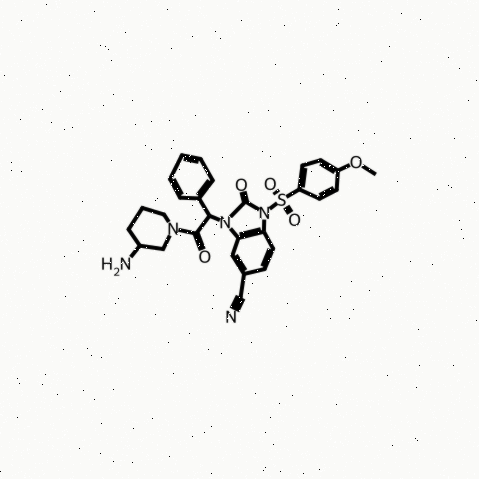 COc1ccc(S(=O)(=O)n2c(=O)n(C(C(=O)N3CCCC(N)C3)c3ccccc3)c3cc(C#N)ccc32)cc1